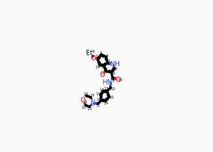 CCOc1ccc2[nH]cc(C(=O)NCc3ccc(CN4CCOCC4)cc3)c(=O)c2c1